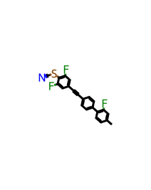 Cc1ccc(-c2ccc(C#Cc3cc(F)c(SC#N)c(F)c3)cc2)c(F)c1